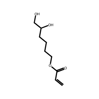 C=CC(=O)OCCCCC(O)CO